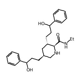 CCNC(=O)[C@H]1NC[C@@H](CCC(O)c2ccccc2)C[C@@H]1CCC(O)c1ccccc1